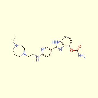 CCN1CCCN(CCNc2ccc(-c3nc4c(OC(N)=O)cccc4[nH]3)cn2)CC1